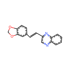 C(=C\c1cnc2ccccc2n1)/c1ccc2c(c1)OCO2